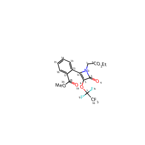 CCOC(=O)CN1C(=O)C(OC(F)(F)C(F)(F)F)=C1c1ccccc1C(=O)OC